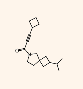 CC(C)C1CC2(CCN(C(=O)C#CC3CCC3)C2)C1